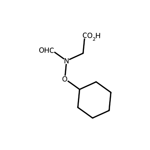 O=CN(CC(=O)O)OC1CCCCC1